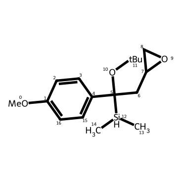 COc1ccc(C(CC2CO2)(OC(C)(C)C)[SiH](C)C)cc1